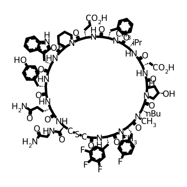 CCCC[C@H]1C(=O)N2C[C@@H](O)C[C@@H]2C(=O)N[C@@H](CC(=O)O)C(=O)N[C@@H](C(C)C)C(=O)N(C)[C@@H](Cc2ccccc2)C(=O)N[C@@H](CCC(=O)O)C(=O)N2CCCC[C@@H]2C(=O)N[C@@H](Cc2c[nH]c3ccccc23)C(=O)N[C@@H](Cc2ccc(O)cc2)C(=O)N[C@@H](CCC(N)=O)C(=O)N[C@H](C(=O)NCC(N)=O)CSCC(=O)N[C@@H](Cc2cc(F)c(F)c(F)c2)C(=O)N(C)[C@@H](Cc2ccc(F)cc2)C(=O)N1C